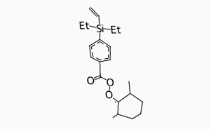 C=C[Si](CC)(CC)c1ccc(C(=O)OO[C]2C(C)CCCC2C)cc1